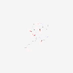 CC[C@@H](C)[C@H](NC)C(=O)OC(CC(=O)[C@H]([C@@H](C)CCCC(C)O)N(C)C(=O)[C@H](C)NC)(CC(C)O)C(=O)O